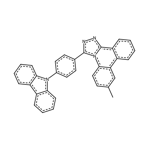 Cc1ccc2c(c1)c1ccccc1c1nnc(-c3ccc(-n4c5ccccc5c5ccccc54)cc3)n21